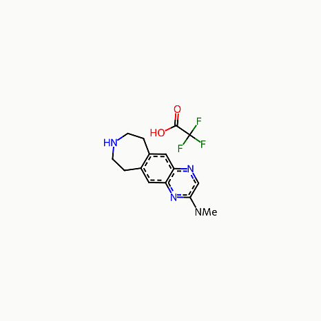 CNc1cnc2cc3c(cc2n1)CCNCC3.O=C(O)C(F)(F)F